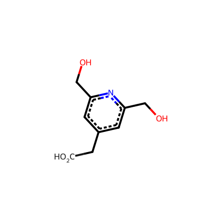 O=C(O)Cc1cc(CO)nc(CO)c1